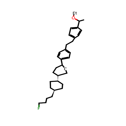 CCOC(C)c1ccc(CCc2ccc(C3CCC([C@H]4CC[C@H](CCCCF)CC4)CC3)cc2)cc1